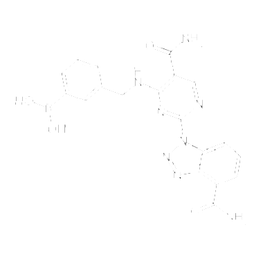 NC(=O)c1cnc(-n2nnc3c(C(N)=O)cccc32)nc1NCc1cccc(B(O)O)c1